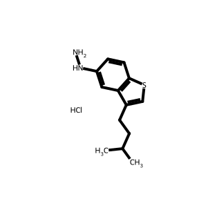 CC(C)CCc1csc2ccc(NN)cc12.Cl